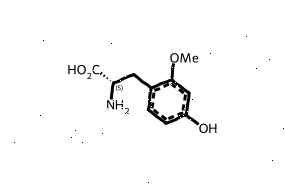 COc1cc(O)ccc1C[C@H](N)C(=O)O